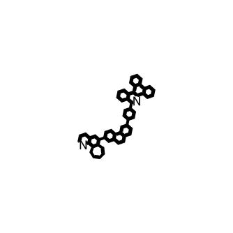 C1=CCc2c(c(-c3ccc4c(ccc5ccc(-c6ccc(-c7nc8c9ccccc9c9ccccc9c8c8ccccc78)cc6)cc54)c3)cc3cccnc23)C=C1